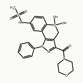 CS(=O)(=O)Nc1ccc2c(c1)-c1c(c(C(=O)N3CCOCC3)nn1-c1ccccc1)CS2(O)O